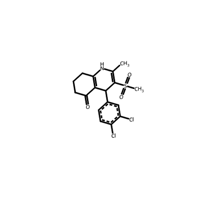 CC1=C(S(C)(=O)=O)C(c2ccc(Cl)c(Cl)c2)C2=C(CCCC2=O)N1